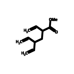 C=CC(C=C)CC(C=C)C(=O)OC